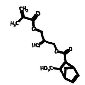 C=C(C)C(=O)OCC(O)COC(=O)C1C2C=CC(C2)C1C(=O)O